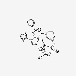 CCC(=O)N[C@@H](Cc1ccc(-c2nccs2)c(SC(=O)c2ccccc2)c1Cc1ccccc1)C(=O)OC